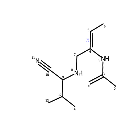 C=C(C)N/C(=C\C)CNC(C#N)C(C)C